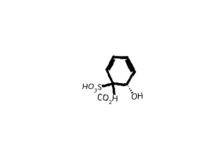 O=C(O)C1(S(=O)(=O)O)C=CC=C[C@@H]1O